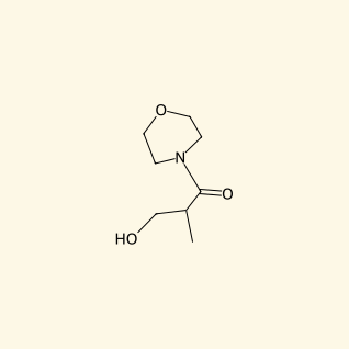 CC(CO)C(=O)N1CCOCC1